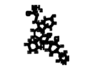 Cc1ccc2c(c1)c(C=CC(N)=O)c1n2C[C@@](NC(=O)c2ccc(-n3cnnc3)cc2Cl)(c2ccccc2)CC1